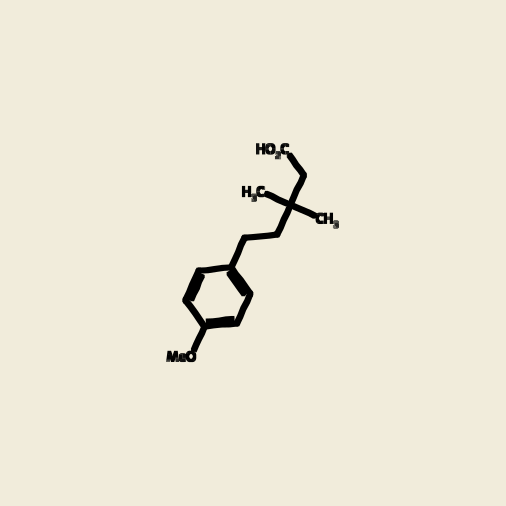 COc1ccc(CCC(C)(C)CC(=O)O)cc1